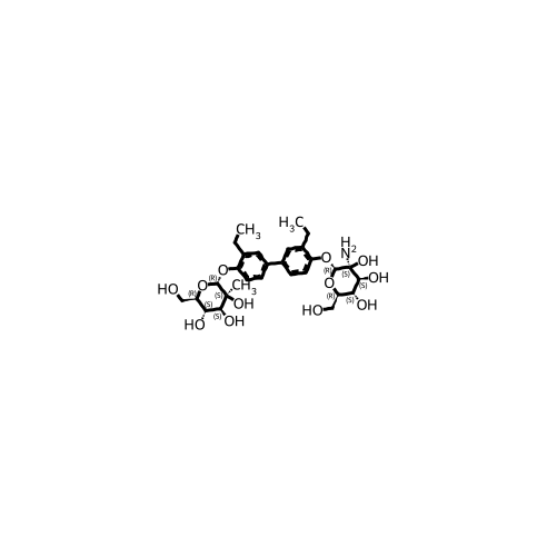 CCc1cc(-c2ccc(O[C@H]3O[C@H](CO)[C@@H](O)[C@H](O)[C@]3(N)O)c(CC)c2)ccc1O[C@H]1O[C@H](CO)[C@@H](O)[C@H](O)[C@]1(C)O